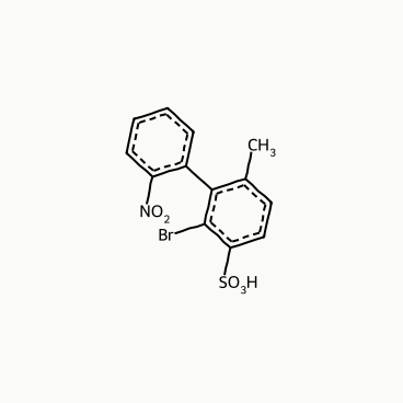 Cc1ccc(S(=O)(=O)O)c(Br)c1-c1ccccc1[N+](=O)[O-]